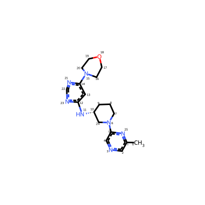 Cc1cncc(N2CCC[C@@H](Nc3cc(N4CCOCC4)ncn3)C2)n1